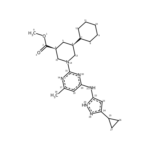 COC(=O)[C@H]1C[C@@H](C2CCCCC2)CN(c2nc(C)cc(Nc3cc(C4CC4)n[nH]3)n2)C1